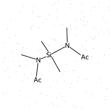 CC(=O)N(C)[Si](C)(C)N(C)C(C)=O